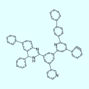 c1cccc(-c2cc(-c3ccc(-c4ccccc4)cc3)nc(-c3cc(C4=Nc5ccc(-c6ccccc6)cc5C(c5ccccc5)N4)cc(-c4cccnc4)c3)c2)c#1